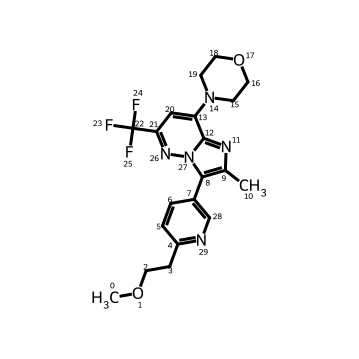 COCCc1ccc(-c2c(C)nc3c(N4CCOCC4)cc(C(F)(F)F)nn23)cn1